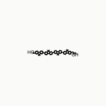 CCC(O)Cc1ccc2c(c1)C(C)(C)c1cc(-c3ccc4c(c3)C(C)(C)c3cc(-c5ccc6c(c5)C(C)(C)c5cc(-c7ccc8c(c7)C(C)(C)c7cc(CO)ccc7-8)ccc5-6)ccc3-4)ccc1-2